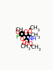 CCOC(=O)C1=C(C(=O)OCC)C(c2ccc(OC)c(F)c2)C(C(=O)OCC)=C(C)N1